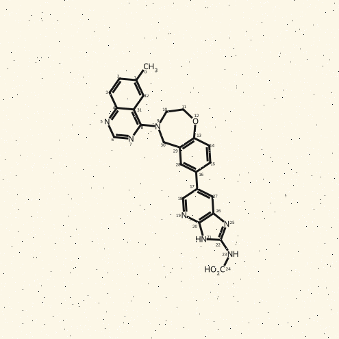 Cc1ccc2ncnc(N3CCOc4ccc(-c5cnc6[nH]c(NC(=O)O)nc6c5)cc4C3)c2c1